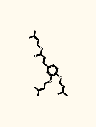 CC(C)=CCOC(=O)C=Cc1ccc(OCC=C(C)C)c(OCC=C(C)C)c1